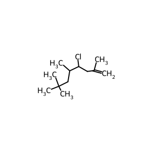 C=C(C)CC(Cl)C(C)CC(C)(C)C